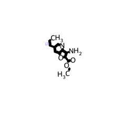 C/C=C\c1cnc2c(N)c(C(=O)OCC)oc2c1